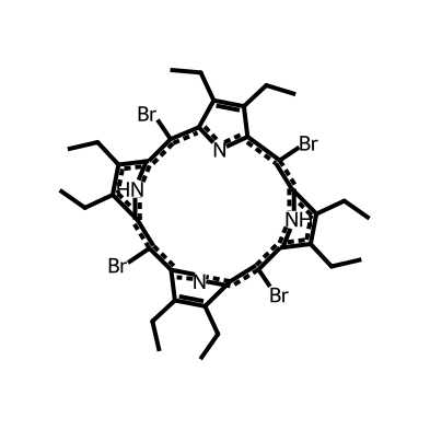 CCC1=C(CC)c2nc1c(Br)c1[nH]c(c(Br)c3nc(c(Br)c4[nH]c(c2Br)c(CC)c4CC)C(CC)=C3CC)c(CC)c1CC